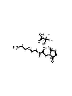 NCCOCCNC(=O)CN1C(=O)C=CC1=O.O=C(O)C(F)(F)F